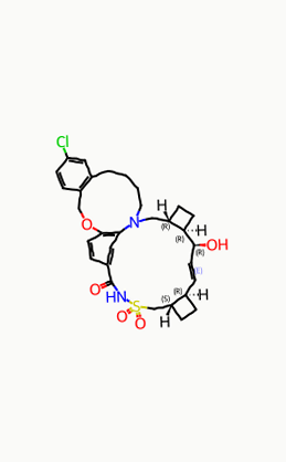 O=C1NS(=O)(=O)C[C@H]2CC[C@@H]2/C=C/[C@H](O)[C@@H]2CC[C@H]2CN2CCCCc3cc(Cl)ccc3COc3ccc1cc32